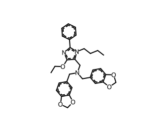 CCCCn1c(-c2ccccc2)nc(OCC)c1CN(Cc1ccc2c(c1)OCO2)Cc1ccc2c(c1)OCO2